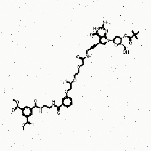 COC(=O)c1cc(C(=O)NCCNC(=O)c2cccc(OCC(N)OCCOCC(=O)NCC#Cc3cn([C@H]4C[C@H](OC(=O)C(C)(C)C)[C@@H](CO)O4)c4nc(N)[nH]c(=O)c34)c2)cc(C(=O)OC)c1